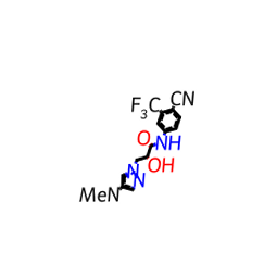 CNc1cnn(CC(O)C(=O)Nc2ccc(C#N)c(C(F)(F)F)c2)c1